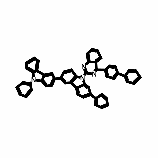 c1ccc(-c2ccc(-c3nc(-n4c5ccc(-c6ccc7c(c6)c6ccccc6n7-c6ccccc6)cc5c5ccc(-c6ccccc6)cc54)nc4ccccc34)cc2)cc1